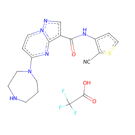 N#Cc1sccc1NC(=O)c1cnn2ccc(N3CCCNCC3)nc12.O=C(O)C(F)(F)F